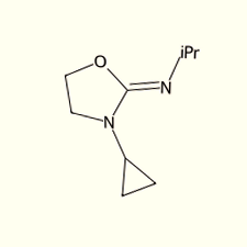 CC(C)/N=C1\OCCN1C1CC1